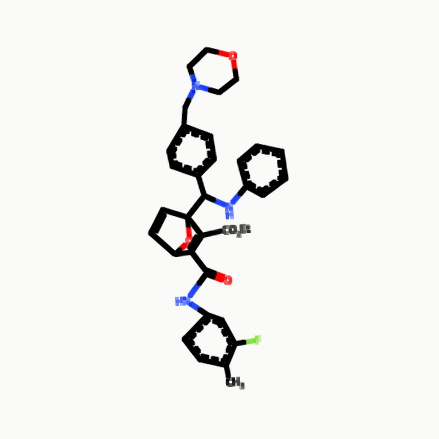 CCOC(=O)C1=C(C(=O)Nc2ccc(C)c(F)c2)C2C=CC1(C(Nc1ccccc1)c1ccc(CN3CCOCC3)cc1)O2